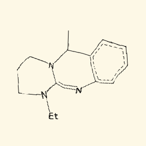 CCN1CCCN2C1=Nc1ccccc1C2C